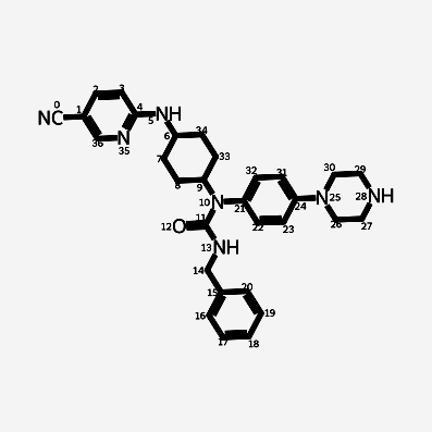 N#Cc1ccc(NC2CCC(N(C(=O)NCc3ccccc3)c3ccc(N4CCNCC4)cc3)CC2)nc1